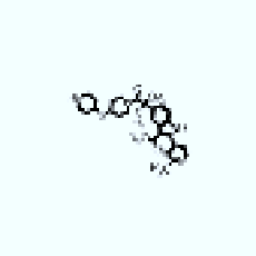 Cc1cc(-c2[nH]c3ccc(C(C)(C)C(=O)N4CCC(OC5CCNCC5)CC4)cc3c2C(C)C)ccn1